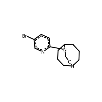 Brc1ccc(N2CCN3CCCC2CCC3)nc1